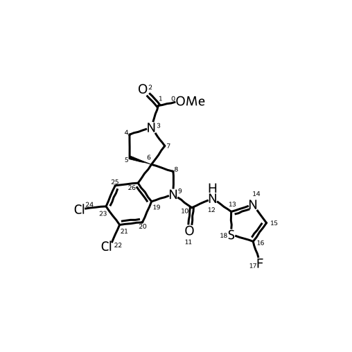 COC(=O)N1CC[C@@]2(C1)CN(C(=O)Nc1ncc(F)s1)c1cc(Cl)c(Cl)cc12